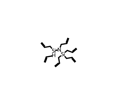 C=CCN([SiH](CC=C)CC=C)[Si](CC=C)(CC=C)CC=C